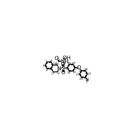 O=C(NO)[C@H]1c2ccccc2CCN1S(=O)(=O)c1ccc(Oc2ccc(F)cc2)cc1